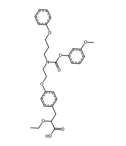 CCOC(Cc1ccc(OCCN(CCCOc2ccccc2)C(=O)Oc2cccc(OC)c2)cc1)C(=O)O